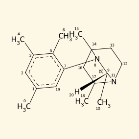 Cc1cc(C)c(C)c(N2[C@@H](C)N3CCC2(C)CC3C)c1